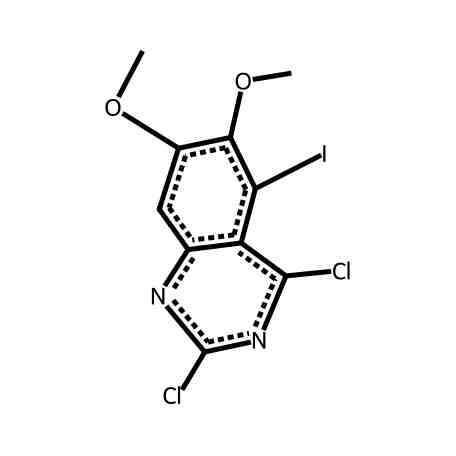 COc1cc2nc(Cl)nc(Cl)c2c(I)c1OC